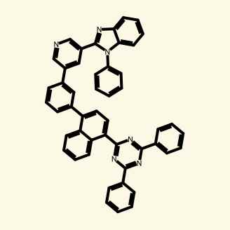 c1ccc(-c2nc(-c3ccccc3)nc(-c3ccc(-c4cccc(-c5cncc(-c6nc7ccccc7n6-c6ccccc6)c5)c4)c4ccccc34)n2)cc1